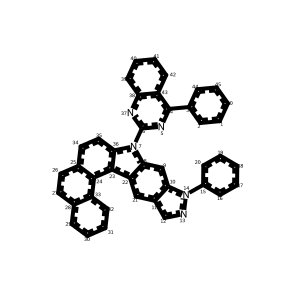 c1ccc(-c2nc(-n3c4cc5c(cnn5-c5ccccc5)cc4c4c5c(ccc6ccccc65)ccc43)nc3ccccc23)cc1